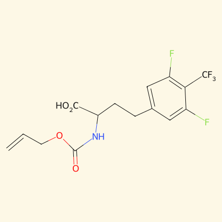 C=CCOC(=O)NC(CCc1cc(F)c(C(F)(F)F)c(F)c1)C(=O)O